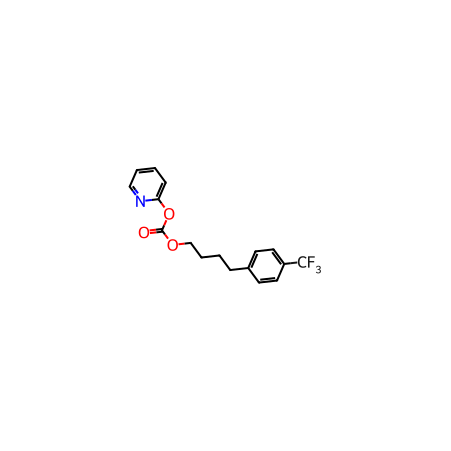 O=C(OCCCCc1ccc(C(F)(F)F)cc1)Oc1ccccn1